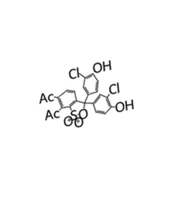 CC(=O)c1ccc2c(c1C(C)=O)S(=O)(=O)OC2(c1ccc(O)c(Cl)c1)c1ccc(O)c(Cl)c1